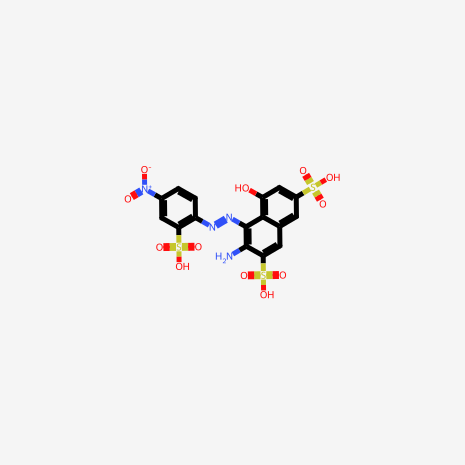 Nc1c(S(=O)(=O)O)cc2cc(S(=O)(=O)O)cc(O)c2c1/N=N/c1ccc([N+](=O)[O-])cc1S(=O)(=O)O